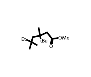 CCC(C)(C)CC(C)(CC(=O)OC)C(C)(C)C